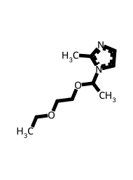 CCOCCOC(C)n1ccnc1C